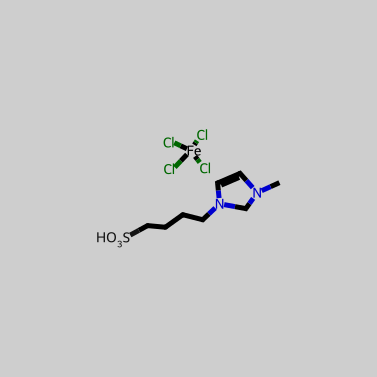 CN1C=CN(CCCCS(=O)(=O)O)C1.[Cl][Fe]([Cl])([Cl])[Cl]